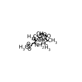 CC(C)[C@H](NC(=O)[C@@H](NC(=O)[C@@H](N)CCS(C)(=O)=O)C(C)C)C(=O)O